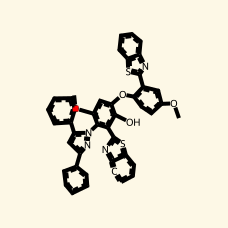 COc1ccc(Oc2cc(OC)c(-n3nc(-c4ccccc4)cc3-c3ccccc3)c(-c3nc4ccccc4s3)c2O)c(-c2nc3ccccc3s2)c1